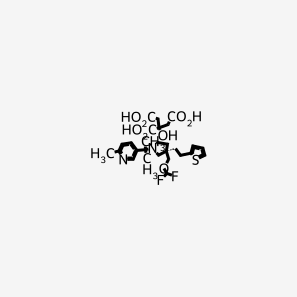 Cc1ccc(C(C)(C)N2CC[C@@](CCc3cccs3)(COC(F)F)C2)cn1.O=C(O)CC(O)(CC(=O)O)C(=O)O